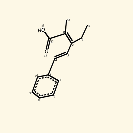 CCC(C=Cc1ccccc1)=C(C)C(=O)O